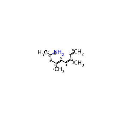 C=C/C(C)=C\C=C(/C)CC(C)N